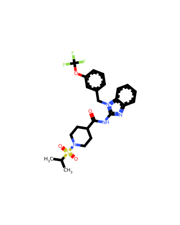 CC(C)S(=O)(=O)N1CCC(C(=O)Nc2nc3ccccc3n2Cc2cccc(OC(F)(F)F)c2)CC1